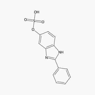 O=S(=O)(O)Oc1ccc2[nH]c(-c3ccccc3)nc2c1